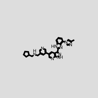 Cc1cn(-c2cccc3[nH]c(-c4n[nH]c5ncc(-c6cncc(CNCC7CCCC7)c6)cc45)nc23)cn1